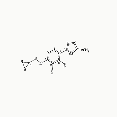 Cc1ccc(-c2ccc(OCC3CC3)c(F)c2F)s1